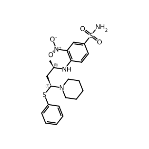 C[C@H](C[C@H](Sc1ccccc1)N1CCCCC1)Nc1ccc(S(N)(=O)=O)cc1[N+](=O)[O-]